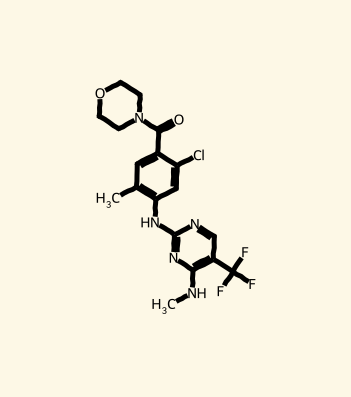 CNc1nc(Nc2cc(Cl)c(C(=O)N3CCOCC3)cc2C)ncc1C(F)(F)F